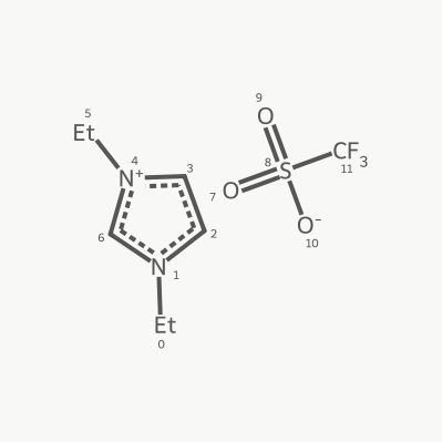 CCn1cc[n+](CC)c1.O=S(=O)([O-])C(F)(F)F